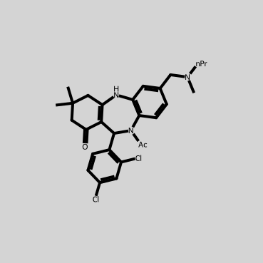 CCCN(C)Cc1ccc2c(c1)NC1=C(C(=O)CC(C)(C)C1)C(c1ccc(Cl)cc1Cl)N2C(C)=O